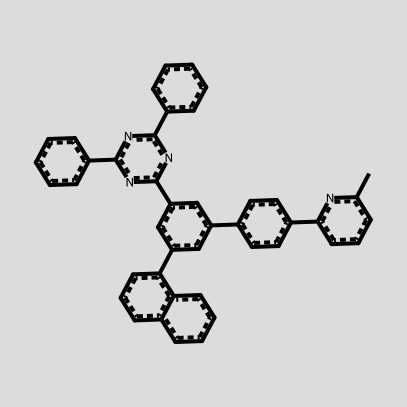 Cc1cccc(-c2ccc(-c3cc(-c4nc(-c5ccccc5)nc(-c5ccccc5)n4)cc(-c4cccc5ccccc45)c3)cc2)n1